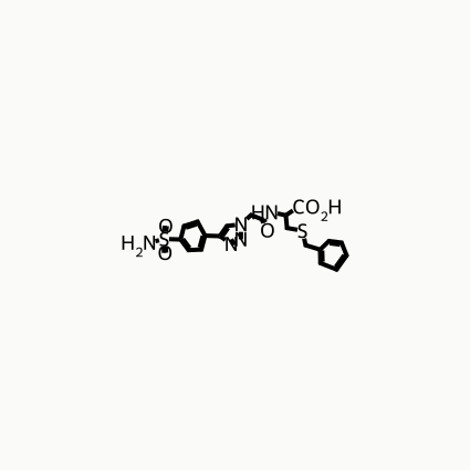 NS(=O)(=O)c1ccc(-c2cn(CC(=O)NC(CSCc3ccccc3)C(=O)O)nn2)cc1